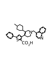 CC1CCC(C2=C(c3cc(-c4ccccc4)sc3C(=O)O)CCN(Cc3ccnc4ccccc34)C2)CC1